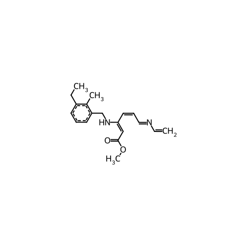 C=C/N=C/C=C\C(=C\C(=O)OC)NCc1cccc(CC)c1C